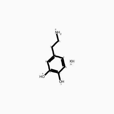 NCCc1ccc(O)c(O)c1.[KH]